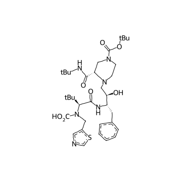 CC(C)(C)NC(=O)[C@@H]1CN(C(=O)OC(C)(C)C)CCN1C[C@@H](O)[C@H](Cc1ccccc1)NC(=O)[C@@H](N(Cc1cncs1)C(=O)O)C(C)(C)C